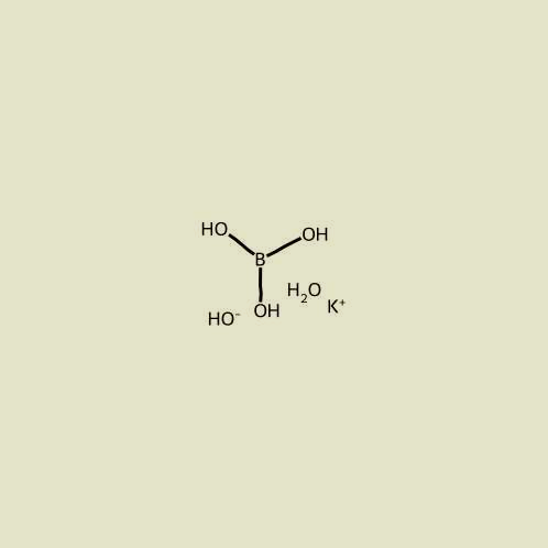 O.OB(O)O.[K+].[OH-]